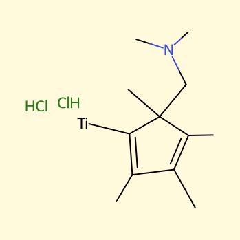 CC1=C(C)C(C)(CN(C)C)[C]([Ti])=C1C.Cl.Cl